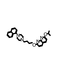 CC(C)Oc1ccc2ccc(OCCCCN3CCN(c4cccc5ccccc45)CC3)nc2n1